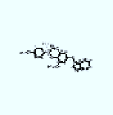 COc1ccc([C@@H]2Oc3c(OC)cc(Cn4cnc5cccnc54)cc3OC2C)cn1